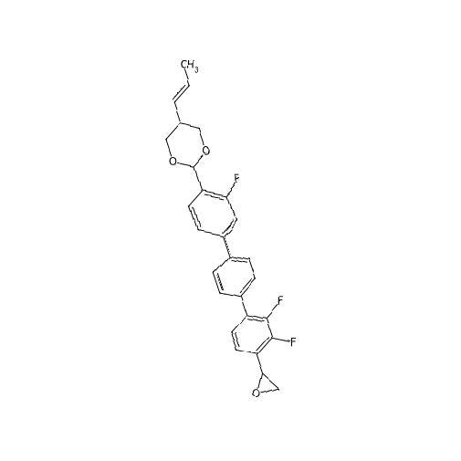 C/C=C/C1COC(c2ccc(-c3ccc(-c4ccc(C5CO5)c(F)c4F)cc3)cc2F)OC1